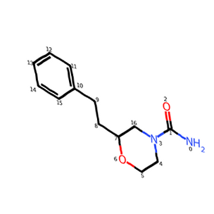 NC(=O)N1CCOC(CCc2ccccc2)C1